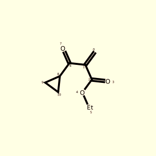 C=C(C(=O)OCC)C(=O)C1CC1